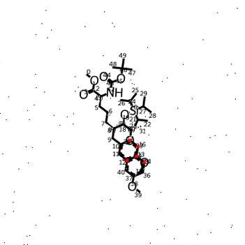 COC(=O)[C@H](CCC[C@H](Cc1ccc(OC)cc1)[C@@H](O[Si](C(C)C)(C(C)C)C(C)C)[C@H](C)OCc1ccc(OC)cc1)NC(=O)OC(C)(C)C